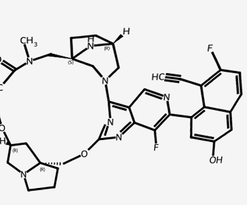 C#Cc1c(F)ccc2cc(O)cc(-c3ncc4c5nc(nc4c3F)OC[C@]34CCCN3C[C@@H](C4)OCCC(=O)N(C)C[C@]34CC[C@H](CN5C3)N4)c12